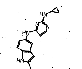 Cc1cc2cc(Nc3ccnc(NC4CC4)n3)ccc2[nH]1